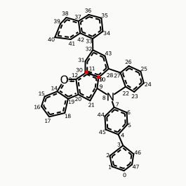 c1ccc(-c2ccc(N(c3ccc4oc5ccccc5c4c3)c3ccccc3-c3cccc(-c4cccc5ccccc45)c3)cc2)cc1